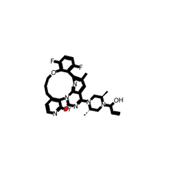 C=CC(O)N1C[C@H](C)N(c2nc(=O)n3c4nc(c(C)cc24)-c2c(F)ccc(F)c2OCCCc2ccnc(C(C)C)c2-3)C[C@H]1C